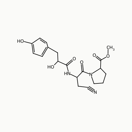 COC(=O)C1CCCN1C(=O)C(CC#N)NC(=O)C(O)Cc1ccc(O)cc1